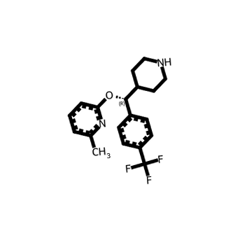 Cc1cccc(O[C@@H](c2ccc(C(F)(F)F)cc2)C2CCNCC2)n1